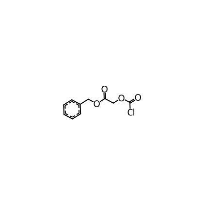 O=C(Cl)OCC(=O)OCc1ccccc1